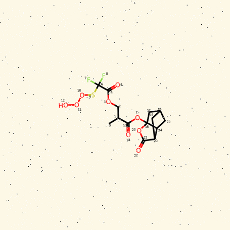 CC(COC(=O)C(F)(F)SOOO)C(=O)OC12CC3CC(C(=O)O1)C2C3